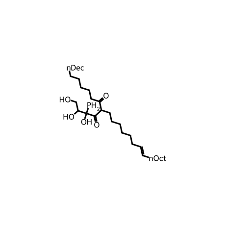 CCCCCCCCC=CCCCCCCC(C(=O)CCCCCCCCCCCCCCC)C(=O)C(O)(P)C(O)CO